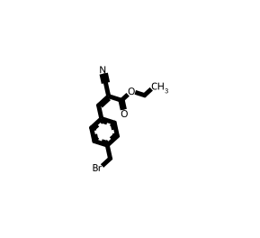 CCOC(=O)C(C#N)=Cc1ccc(CBr)cc1